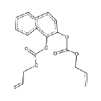 C=CCOC(=O)Oc1ccc2ccccc2c1OC(=O)OCC=C